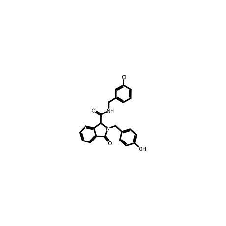 O=C(NCc1cccc(Cl)c1)C1c2ccccc2C(=O)N1Cc1ccc(O)cc1